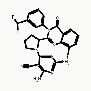 N#Cc1c(N)nc(N)nc1N1CCCC1c1nc2c(I)cccc2c(=O)n1-c1cccc(C(F)F)c1